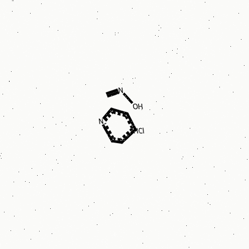 C=NO.Cl.c1ccncc1